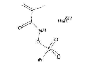 C=C(C)C(=O)NOS(=O)(=O)C(C)C.[KH].[NaH]